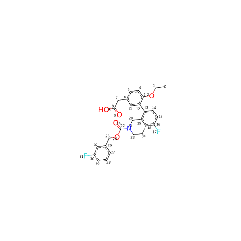 CCOc1ccc(CC(=O)O)cc1-c1ccc(F)c2c1CN(C(=O)OCc1cccc(F)c1)CC2